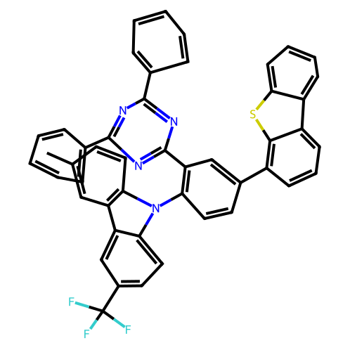 Cc1ccc2c(c1)c1cc(C(F)(F)F)ccc1n2-c1ccc(-c2cccc3c2sc2ccccc23)cc1-c1nc(-c2ccccc2)nc(-c2ccccc2)n1